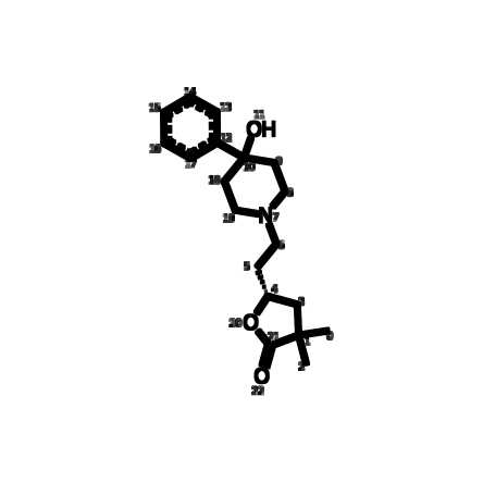 CC1(C)C[C@@H](CCN2CCC(O)(c3ccccc3)CC2)OC1=O